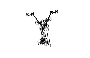 CN(C)CCCN(C)CCCCCCCC(=O)NCCCNC(=O)C(CCC(=O)NCCCNC(=O)CCCCCN(C)CCCN(C)C)NC(=O)c1ccc(NCc2cnc3c(n2)C(=O)NC(N)N3)cc1